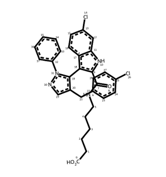 O=C(O)CCCCCNC(=O)c1[nH]c2cc(Cl)ccc2c1-c1c(Cc2ccc(Cl)cc2)cnn1-c1ccccc1